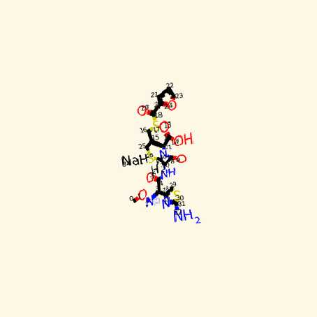 CO/N=C(\C(=O)N[C@@H]1C(=O)N2C(C(=O)O)=C(CSC(=O)c3ccco3)CS[C@H]12)c1csc(N)n1.[NaH]